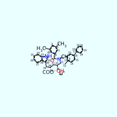 Cc1cc(C)cc(C(=O)N(C)[C@H](Cc2ccc(-c3ccccc3)cc2)C(O)C[C@@H](Cc2c[nH]c3ccccc23)C(=O)[O-])c1.[Li+]